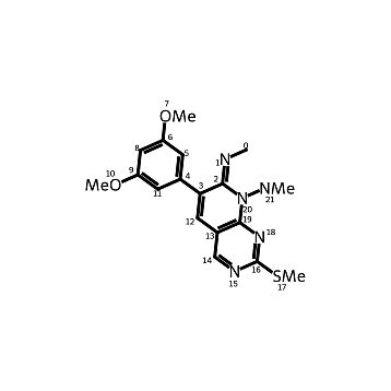 C/N=c1/c(-c2cc(OC)cc(OC)c2)cc2cnc(SC)nc2n1NC